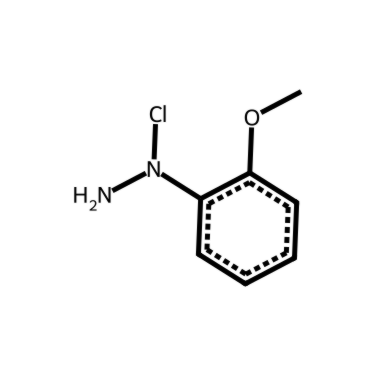 COc1ccccc1N(N)Cl